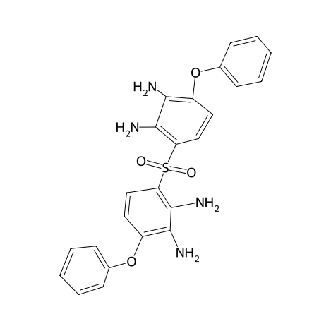 Nc1c(Oc2ccccc2)ccc(S(=O)(=O)c2ccc(Oc3ccccc3)c(N)c2N)c1N